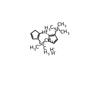 [CH3][Sn]([CH3])([CH3])[C]1=[C]([Hf][C]2=[C]([Sn]([CH3])([CH3])[CH3])C=CC2)CC=C1.[H-].[H-]